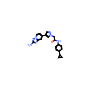 Nc1nc2cc(-c3cnn(CC(=O)Nc4ccc(C5CC5)cc4)c3)ccn2n1